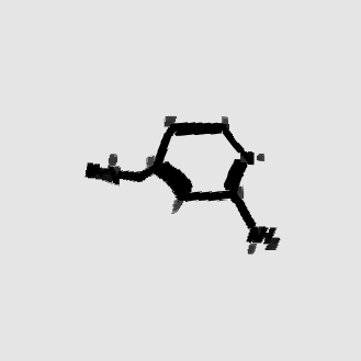 CNc1c[c]nc(N)c1